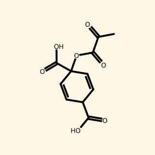 CC(=O)C(=O)OC1(C(=O)O)C=CC(C(=O)O)C=C1